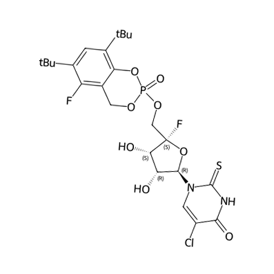 CC(C)(C)c1cc(C(C)(C)C)c2c(c1F)COP(=O)(OC[C@@]1(F)O[C@@H](n3cc(Cl)c(=O)[nH]c3=S)[C@H](O)[C@@H]1O)O2